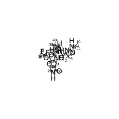 CC(C)(C)[C@H](NC(=O)NC1CC1)C(=O)N1C[C@H]2[C@@H]([C@H]1C(=O)N[C@@H](C[C@@H]1CCNC1=O)C(=O)COC(F)(F)F)C2(C)C